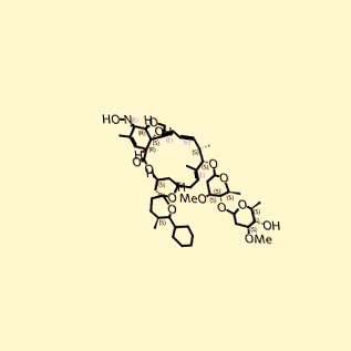 CO[C@H]1CC(O[C@H]2[C@H](C)OC(O[C@@H]3/C(C)=C/C[C@@H]4C[C@@H](C[C@]5(CC[C@H](C)C(C6CCCCC6)O5)O4)OC(=O)[C@@H]4C=C(C)/C(=N\O)[C@H]5OC/C(=C\C=C\[C@@H]3C)[C@]54O)C[C@@H]2OC)O[C@@H](C)[C@@H]1O